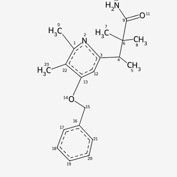 Cc1nc(C(C)C(C)(C)C(N)=O)cc(OCc2ccccc2)c1C